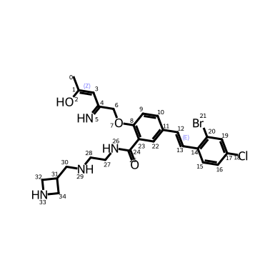 C/C(O)=C/C(=N)COc1ccc(/C=C/c2ccc(Cl)cc2Br)cc1C(=O)NCCNCC1CNC1